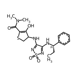 CC[C@@H](NC1=NS(=O)(=O)N=C1NC1CSC(C(=O)N(C)C)=C1O)c1ccccc1